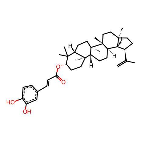 C=C(C)[C@@H]1CC[C@]2(C)CC[C@]3(C)[C@H](CC[C@@H]4[C@@]5(C)CC[C@H](OC(=O)/C=C/c6ccc(O)c(O)c6)C(C)(C)[C@@H]5CC[C@]43C)[C@@H]12